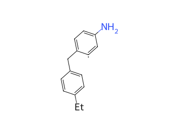 CCc1ccc(Cc2[c]cc(N)cc2)cc1